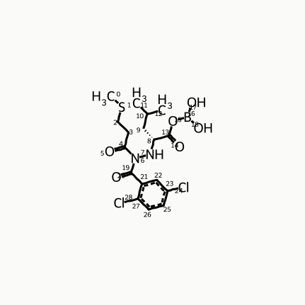 CSCCC(=O)N(N[C@H](CC(C)C)C(=O)OB(O)O)C(=O)c1cc(Cl)ccc1Cl